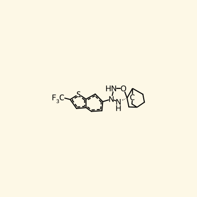 FC(F)(F)c1cc2ccc(N3NO[C@@]4(CC5CCC4CC5)N3)cc2s1